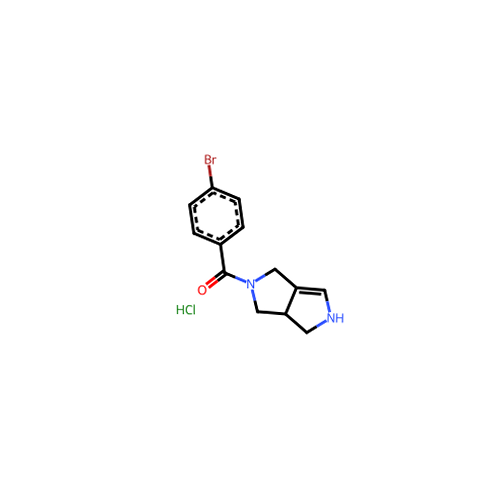 Cl.O=C(c1ccc(Br)cc1)N1CC2=CNCC2C1